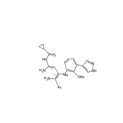 COc1c(NC(/C=C(\N)NC(=O)C2CC2)=C(/N)C(C)=O)cccc1-c1cn[nH]c1